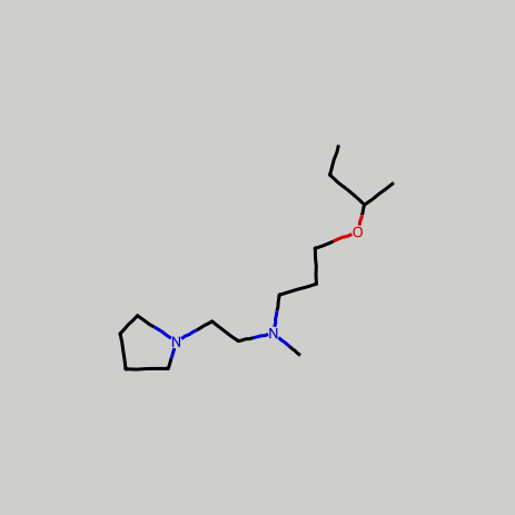 CCC(C)OCCCN(C)CCN1CCCC1